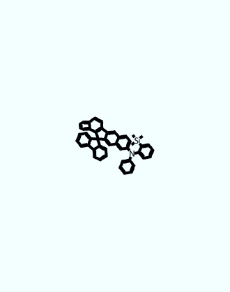 C[Si](C)(C)c1ccccc1N(c1ccccc1)c1ccc2cc3c(cc2c1)C1(c2ccccc2-c2ccccc21)c1c-3ccc2ccccc12